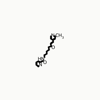 Cc1cc(C=CC(=O)CCCCCCNC(=O)c2ccccn2)ccn1